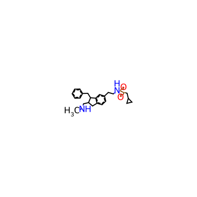 CNCC1Cc2ccc(CCNS(=O)(=O)CC3CC3)cc2C1Cc1ccccc1